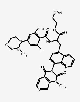 COCCOC(=O)C(Cc1ccc(-n2c(=O)c3ccncc3n(C)c2=O)c2ncccc12)NC(=O)c1c(C)cc(N2CCOC[C@@H]2C(F)(F)F)cc1F